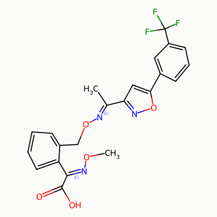 CO/N=C(/C(=O)O)c1ccccc1CO/N=C(\C)c1cc(-c2cccc(C(F)(F)F)c2)on1